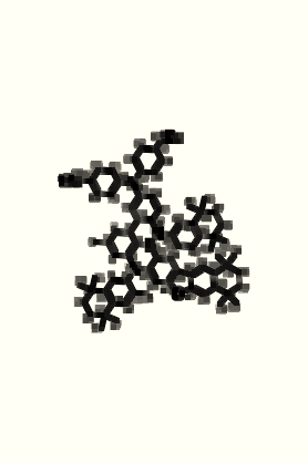 Cc1cc2c3c(c1)N(c1cc4c(cc1C)C(C)(C)CCC4(C)C)c1cc4oc5cc6c(cc5c4cc1B3N(c1ccc3c(c1)C(C)(C)CCC3(C)C)c1ccc(N(c3ccc(C(C)(C)C)cc3)c3ccc(C(C)(C)C)cc3)cc1-2)C(C)(C)CCC6(C)C